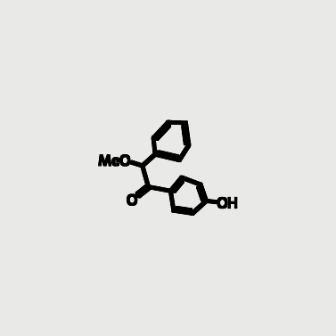 COC(C(=O)c1ccc(O)cc1)c1ccccc1